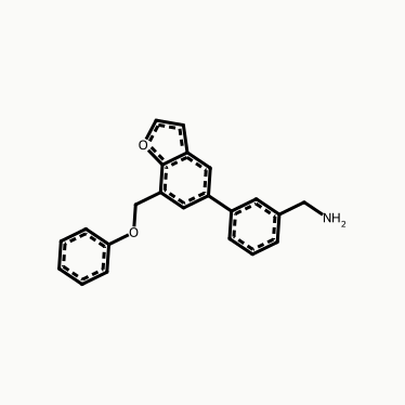 NCc1cccc(-c2cc(COc3ccccc3)c3occc3c2)c1